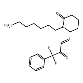 O=C(O)CCCCCCN1C(=O)CCC[C@@H]1C=CC(=O)C(F)(F)c1ccccc1